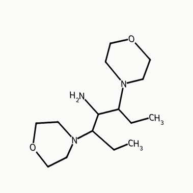 CCC(C(N)C(CC)N1CCOCC1)N1CCOCC1